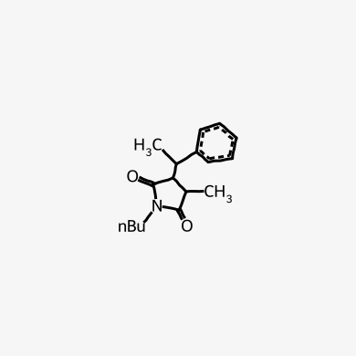 CCCCN1C(=O)C(C)C(C(C)c2ccccc2)C1=O